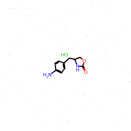 Cl.Nc1ccc(CC2COC(=O)N2)cc1